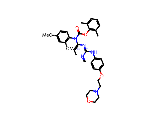 C=N/C(=N\C(=C/C)N(C(=O)Oc1c(C)cccc1C)c1ccc(OC)cc1OC)Nc1ccc(OCCN2CCOCC2)cc1